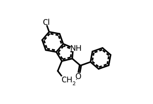 [CH2]Cc1c(C(=O)c2ccccc2)[nH]c2cc(Cl)ccc12